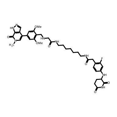 COc1cc(-c2cn(C)c(=O)c3[nH]ncc23)cc(OC)c1CNCC(=O)NCCCCCCCNC(=O)Cc1ccc(NC2CCC(=O)NC2=O)cc1F